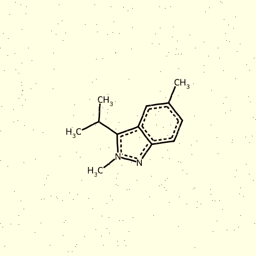 Cc1ccc2nn(C)c(C(C)C)c2c1